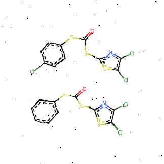 O=C(Sc1ccc(Cl)cc1)Sc1nc(Cl)c(Cl)s1.O=C(Sc1ccccc1)Sc1nc(Cl)c(Cl)s1